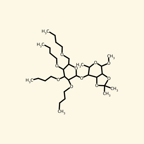 CCCCOCC1OC(OC2C(C)OC(OC)C3OC(C)(C)OC23)C(OCCCC)C(OCCCC)C1OCCCC